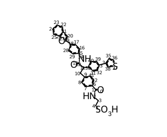 O=C(NCCS(=O)(=O)O)c1ccc(CC(C(=O)Nc2ccc(-c3cc4ccccc4o3)cc2)c2ccc(-c3ccsc3)cc2)cc1